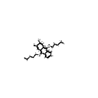 CCCCCOc1c2ccccc2c(OCCCCC)c2cc(C)c(C)cc12